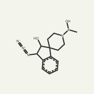 CB(O)N1CCC2(CC1)c1ccccc1C(N=[N+]=[N-])C2O